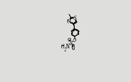 Cc1nc(-c2ccc(OS(N)(=O)=O)cc2)cs1